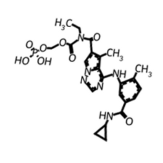 CCN(C(=O)OCOP(=O)(O)O)C(=O)c1cn2ncnc(Nc3cc(C(=O)NC4CC4)ccc3C)c2c1C